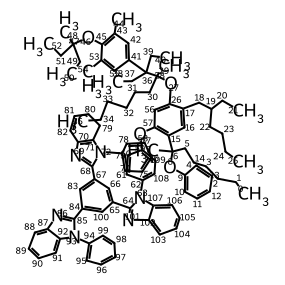 CCCCCCC(C)(Oc1ccccc1)c1cc(CC(CC)CCCC)c(OC(C)(CCCCCC)C(CC)(CC)c2cc(C)c(OC(C)(CC)CC)c(C)c2)cc1Oc1ccc(-n2c(-c3cc(-c4nc5c(n4-c4ccccc4)CCC=C5)cc(-c4nc5ccccc5n4-c4ccccc4)c3)nc3ccccc32)cc1